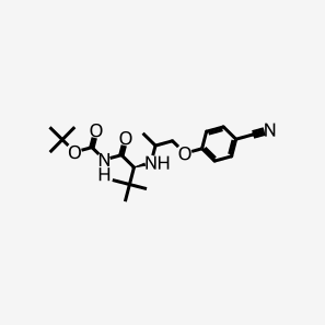 CC(COc1ccc(C#N)cc1)N[C@H](C(=O)NC(=O)OC(C)(C)C)C(C)(C)C